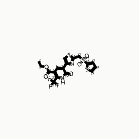 CCOC(=O)c1cc(-c2csc(CS(=O)(=O)c3cccs3)n2)c(=O)[nH]c1C(F)(F)F